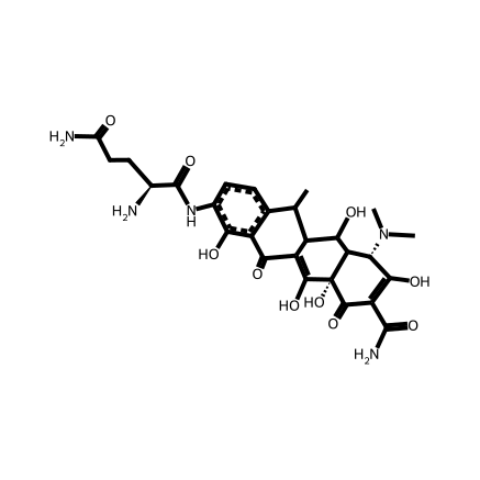 CC1c2ccc(NC(=O)[C@@H](N)CCC(N)=O)c(O)c2C(=O)C2=C(O)[C@]3(O)C(=O)C(C(N)=O)=C(O)[C@@H](N(C)C)C3C(O)C21